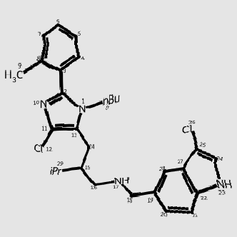 CCCCn1c(-c2ccccc2C)nc(Cl)c1CC(CNCc1ccc2[nH]cc(Cl)c2c1)C(C)C